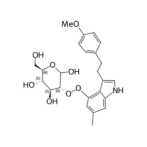 COc1ccc(CCc2c[nH]c3cc(C)cc(OO[C@H]4C(O)O[C@H](CO)[C@@H](O)[C@@H]4O)c23)cc1